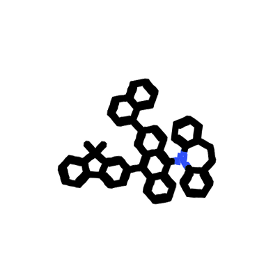 CC1(C)c2ccccc2-c2ccc(-c3c4ccccc4c(N4c5ccccc5CCc5ccccc54)c4ccc(-c5cccc6ccccc56)cc34)cc21